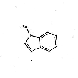 CCCCn1cnc2ccccc21